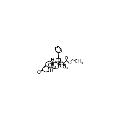 CCOC(=O)C(=O)[C@@]12CC[C@@]3(OC(c4ccccc4)O1)[C@@H]1CCC4=CC(=O)CC[C@]4(C)[C@H]1CC[C@]23C